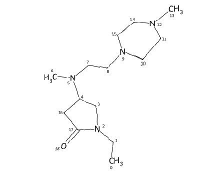 CCN1CC(N(C)CCN2CCN(C)CC2)CC1=O